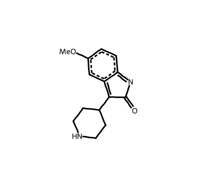 COc1ccc2c(c1)=C(C1CCNCC1)C(=O)N=2